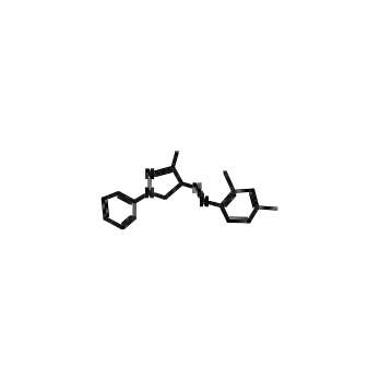 CC1=NN(c2ccccc2)CC1N=Nc1ccc(C)cc1C